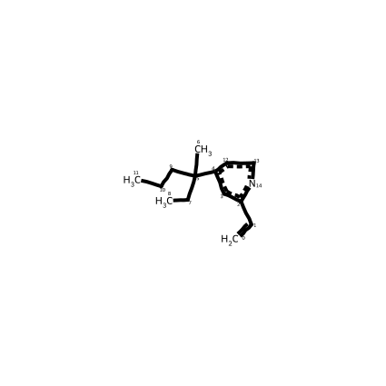 C=Cc1cc(C(C)(CC)CCC)ccn1